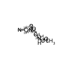 COC(=O)Cc1cc(OCC2CN(c3ccc(C#N)cc3)C(=O)O2)c[nH]1